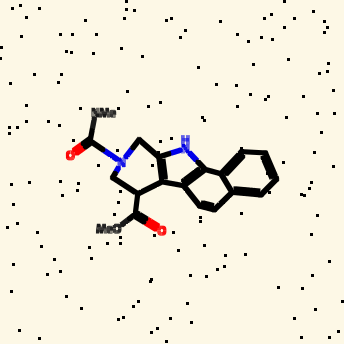 CNC(=O)N1Cc2[nH]c3c(ccc4ccccc43)c2C(C(=O)OC)C1